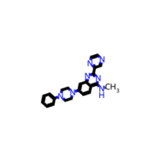 CNc1nc(-c2cnccn2)nc2cc(N3CCN(c4ccccc4)CC3)ccc12